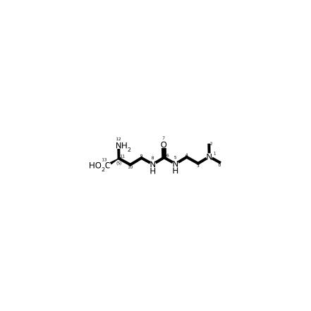 CN(C)CCNC(=O)NCC[C@H](N)C(=O)O